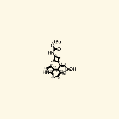 CC(C)(C)OC(=O)N[C@H]1C[C@@H](C2=CB(O)Oc3cnc4[nH]ccc4c32)C1